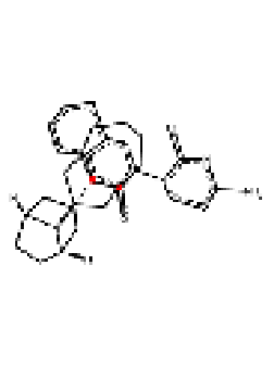 Nc1ccn(-c2nc3ccccc3n([C@H]3C[C@H]4CC[C@@H](C3)N4[C@@H]3C[C@@H]4CCCC[C@@H](C4)C3)c2=O)c(=O)n1